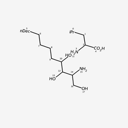 CC(C)CC(N)C(=O)O.CCCCCCCCCCCCCCC(O)C(O)C(N)CO